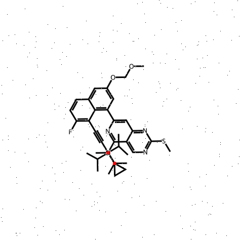 COCOc1cc(-c2cc3nc(SC)ncc3c(N(C)C3CC3)n2)c2c(C#C[Si](C(C)C)(C(C)C)C(C)C)c(F)ccc2c1